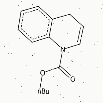 CCCCOC(=O)N1C=CCc2ccccc21